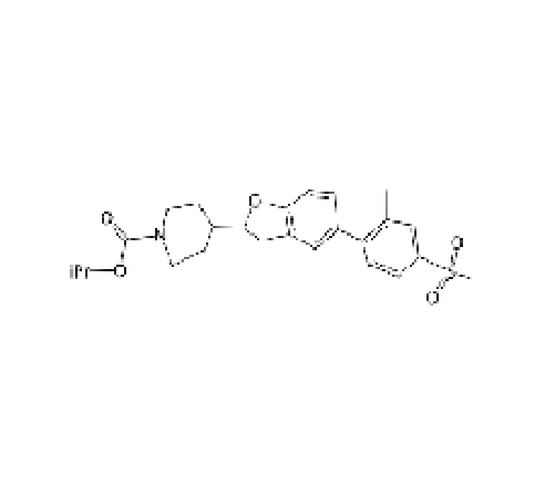 Cc1cc(S(C)(=O)=O)ccc1-c1ccc2c(c1)CC(C1CCN(C(=O)OC(C)C)CC1)O2